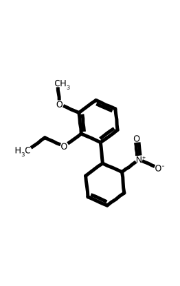 CCOc1c(OC)cccc1C1CC=CCC1[N+](=O)[O-]